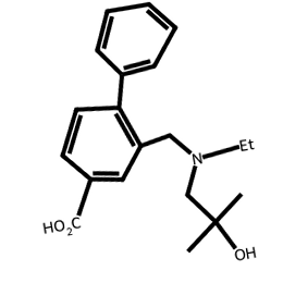 CCN(Cc1cc(C(=O)O)ccc1-c1ccccc1)CC(C)(C)O